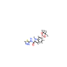 Cn1c(C(=O)Nc2nncs2)cc2ccc(B3OC(C)(C)C(C)(C)O3)cc21